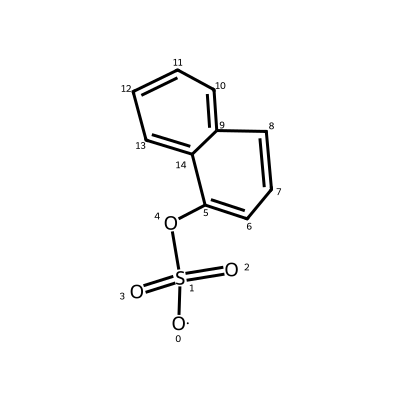 [O]S(=O)(=O)Oc1cccc2ccccc12